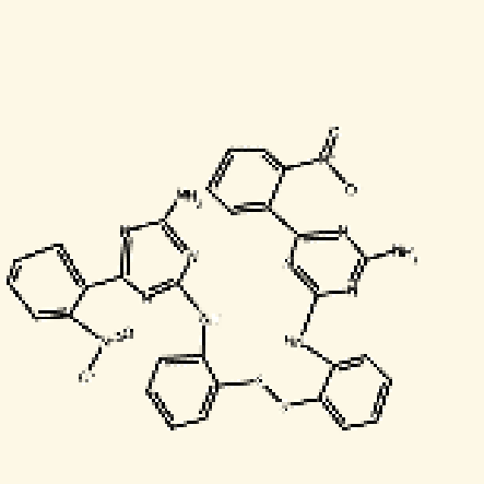 Nc1nc(Nc2ccccc2SSc2ccccc2Nc2nc(N)nc(-c3ccccc3[N+](=O)[O-])n2)nc(-c2ccccc2[N+](=O)[O-])n1